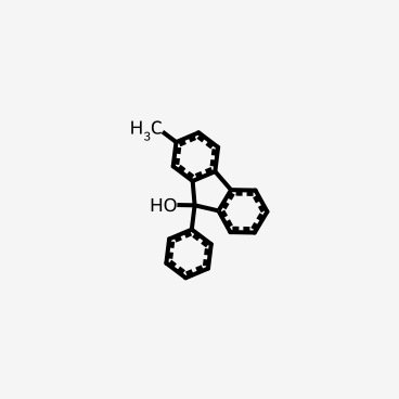 Cc1ccc2c(c1)C(O)(c1ccccc1)c1ccccc1-2